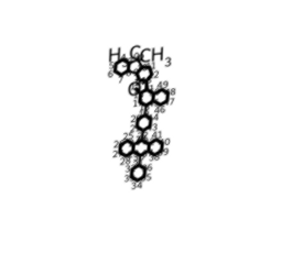 CC1(C)c2ccccc2-c2c1ccc1c2oc2cc(-c3ccc(-c4c5ccccc5c(-c5ccccc5)c5ccccc45)cc3)c3ccccc3c21